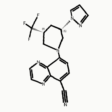 N#Cc1ccc(N2C[C@@H](n3cccn3)C[C@@H](C(F)(F)F)C2)c2nccnc12